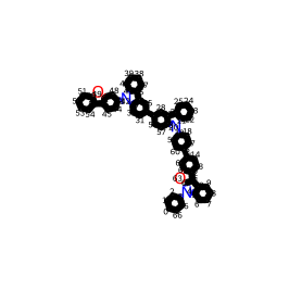 c1ccc(-n2c3ccccc3c3c4ccc(-c5ccc(-n6c7ccccc7c7cc(-c8ccc9c(c8)c8ccccc8n9-c8ccc9c(c8)oc8ccccc89)ccc76)cc5)cc4oc32)cc1